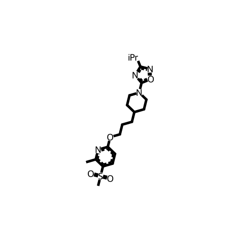 Cc1nc(OCCCC2CCN(c3nc(C(C)C)no3)CC2)ccc1S(C)(=O)=O